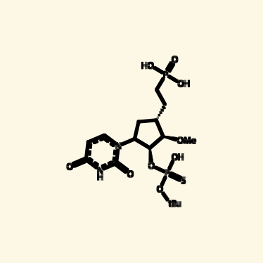 CO[C@@H]1[C@@H](CCP(=O)(O)O)CC(n2ccc(=O)[nH]c2=O)[C@@H]1OP(O)(=S)OC(C)(C)C